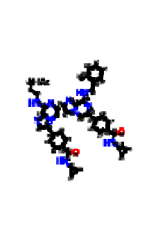 CC(=O)NCCNc1nccn2c(-c3ccc(C(=O)NC4CC4)cc3)cnc12.Cc1ccccc1CNc1nc(-c2ccc(C(=O)NC3CC3)cc2)cn2ccnc12